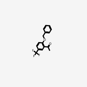 CC(=O)c1cc(C(F)(F)F)ccc1OCc1ccccc1